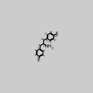 NC(Cc1ccc(F)cc1)Cc1ccc(F)cc1